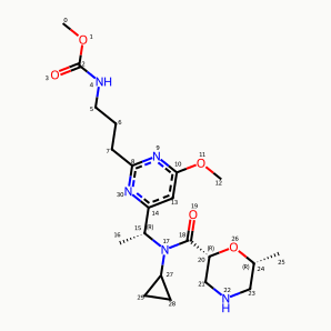 COC(=O)NCCCc1nc(OC)cc([C@@H](C)N(C(=O)[C@H]2CNC[C@@H](C)O2)C2CC2)n1